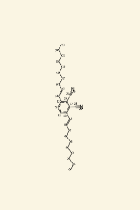 CCCCCCCC/C=C/c1ccc(/C=C/CCCCCCCC)c(C#N)c1C#N